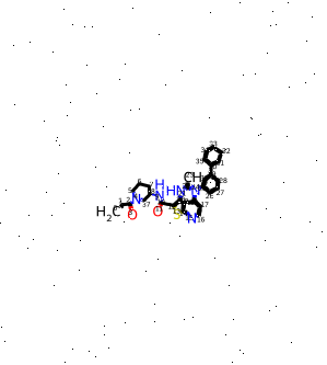 C=CC(=O)N1CCC[C@@H](NC(=O)c2sc3nccc4c3c2[nH]c(=C)n4-c2cccc(-c3ccccc3)c2)C1